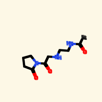 CCC(=O)NCCNCC(=O)N1CCCC1=O